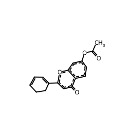 CC(=O)Oc1ccc2c(=O)cc(C3=CC=CCC3)oc2c1